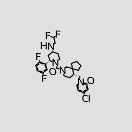 O=C(N1CC[C@@H](Cn2ccc(Cl)cc2=O)C2(CCCC2)C1)N1CC[C@@H](NCC(F)F)C[C@H]1c1cc(F)ccc1F